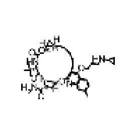 Cc1ccc2c(OCCCNC3CC3)c3c(nc2c1)O[C@@H]1C[C@@H](C(N)=O)N(C1)C(=O)[C@H](C(C)(C)C)NC(=O)O[C@@H]1C[C@H]1CCCCC3